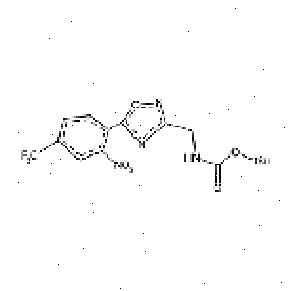 CC(C)(C)OC(=O)NCc1noc(-c2ccc(C(F)(F)F)cc2[N+](=O)[O-])n1